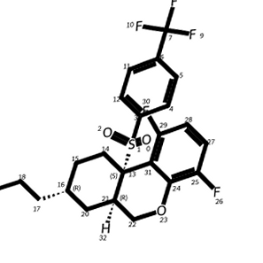 O=S(=O)(c1ccc(C(F)(F)F)cc1)[C@@]12CC[C@@H](CCO)C[C@@H]1COc1c(F)ccc(F)c12